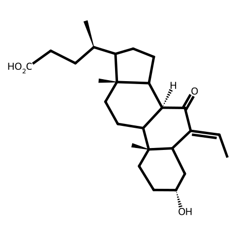 C/C=C1/C(=O)[C@H]2C(CC[C@@]3(C)C2CCC3[C@H](C)CCC(=O)O)[C@@]2(C)CC[C@@H](O)CC12